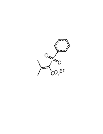 CCOC(=O)C(=C(C)C)S(=O)(=O)c1ccccc1